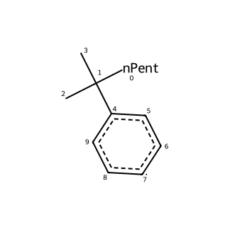 CCCCCC(C)(C)c1cc[c]cc1